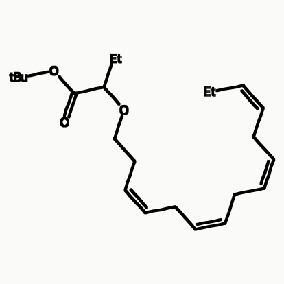 CC/C=C\C/C=C\C/C=C\C/C=C\CCOC(CC)C(=O)OC(C)(C)C